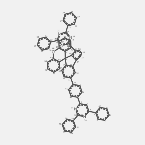 c1ccc(-c2cc(-c3ccc(-c4ccc5c(c4)-c4cccc(-c6nc(-c7ccccc7)nc(-c7ccccc7)n6)c4C54c5ccccc5Oc5ccccc54)cc3)nc(-c3ccccc3)n2)cc1